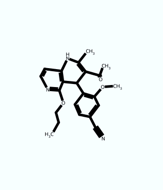 CCCOc1nccc2c1C(c1ccc(C#N)cc1OC)C(C(C)=O)=C(C)N2